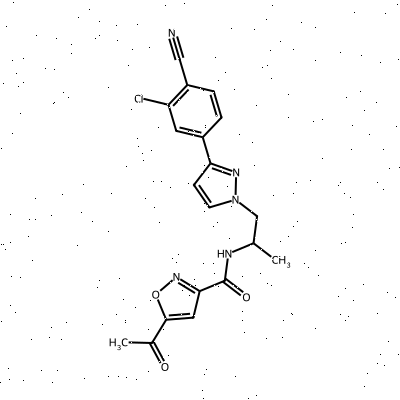 CC(=O)c1cc(C(=O)NC(C)Cn2ccc(-c3ccc(C#N)c(Cl)c3)n2)no1